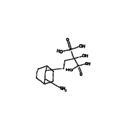 NC1C2CCC(CC2)C1CCC(O)(P(=O)(O)O)P(=O)(O)O